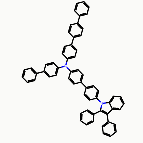 c1ccc(-c2ccc(-c3ccc(N(c4ccc(-c5ccccc5)cc4)c4ccc(-c5ccc(-n6c(-c7ccccc7)c(-c7ccccc7)c7ccccc76)cc5)cc4)cc3)cc2)cc1